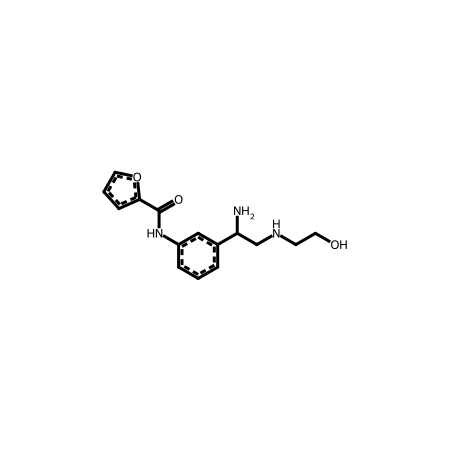 NC(CNCCO)c1cccc(NC(=O)c2ccco2)c1